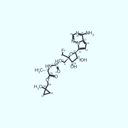 C[C@H](N[PH](=O)OC[C@@]1(CF)O[C@@H](c2ccc3c(N)ncnn23)[C@H](O)[C@@H]1O)C(=O)OCC1(C)CC1